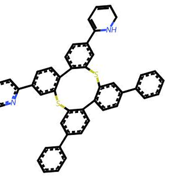 C1=CCNC(c2ccc3c(c2)Sc2cc(-c4ccccc4)ccc2-c2ccc(-c4ccccc4)cc2Sc2cc(-c4ccccn4)ccc2-3)=C1